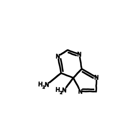 NC1=NC=NC2=NC=NC12N